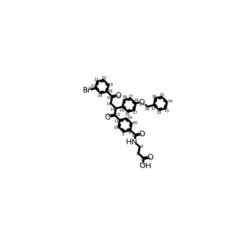 O=C(O)CCNC(=O)c1ccc(C(=O)C(CC(=O)c2cccc(Br)c2)c2ccc(OCc3ccccc3)cc2)cc1